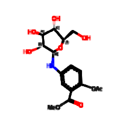 COC(=O)c1cc(N[C@@H]2O[C@H](CO)[C@@H](O)[C@H](O)[C@H]2O)ccc1OC(C)=O